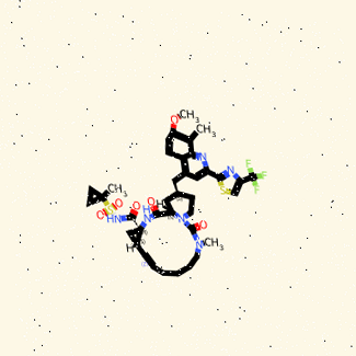 COc1ccc2c(C[C@H]3CCN4C(=O)N(C)CCCC/C=C\[C@@H]5C[C@@]5(C(=O)NS(=O)(=O)C5(C)CC5)NC(=O)[C@@H]4C3)cc(-c3nc(C(F)(F)F)cs3)nc2c1C